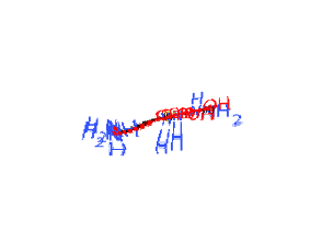 CCC(O)[C@H](N)CCCCNC(O)COCCOCCNC(O)CCC[S@@+]([O-])NC(O)CCCCCCCCCCCCCCCC(NN)NN